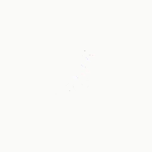 CC(C)c1ccc(C(NC(=O)C2CC(F)CN2C(=O)C(C)n2ccccc2=O)c2ccccc2)cc1